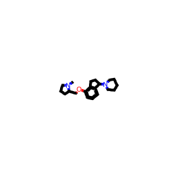 CN1CCCC1COc1cccc2c1CCC2N1CCCCC1